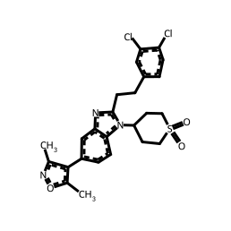 Cc1noc(C)c1-c1ccc2c(c1)nc(CCc1ccc(Cl)c(Cl)c1)n2C1CCS(=O)(=O)CC1